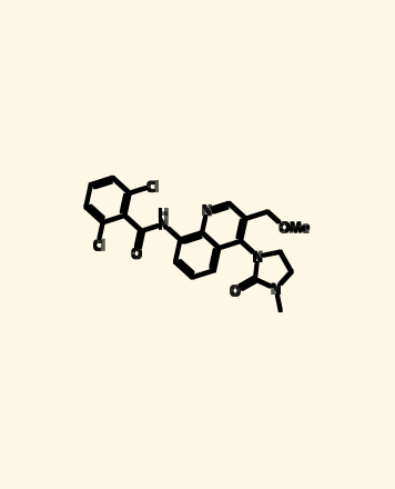 COCc1cnc2c(NC(=O)c3c(Cl)cccc3Cl)cccc2c1N1CCN(C)C1=O